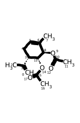 C=C(C)[C@@H]1CC=C(C)[C@@H](OC(C)=O)[C@@H]1OC(C)=O